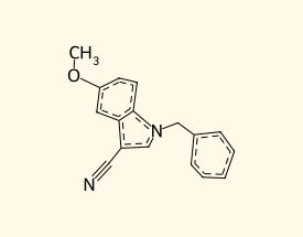 COc1ccc2c(c1)c(C#N)cn2Cc1ccccc1